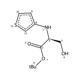 CC(C)(C)OC(=O)[C@H](CO)Nc1ccsc1